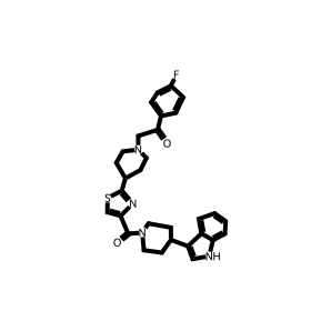 O=C(CN1CCC(c2nc(C(=O)N3CCC(c4c[nH]c5ccccc45)CC3)cs2)CC1)c1ccc(F)cc1